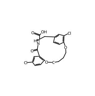 O=C1N[C@H](C(=O)O)Cc2ccc(c(Cl)c2)OCCCCOc2ccc(Cl)cc21